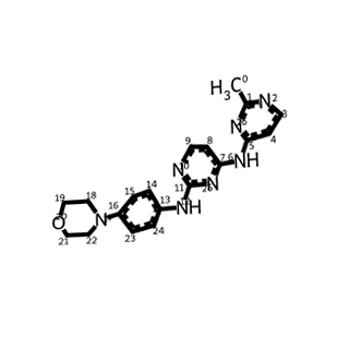 Cc1nccc(Nc2ccnc(Nc3ccc(N4CCOCC4)cc3)n2)n1